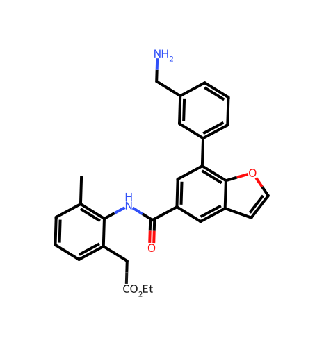 CCOC(=O)Cc1cccc(C)c1NC(=O)c1cc(-c2cccc(CN)c2)c2occc2c1